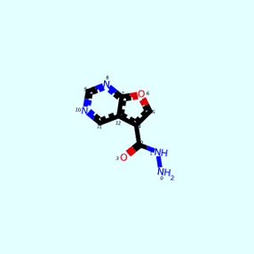 NNC(=O)c1coc2ncncc12